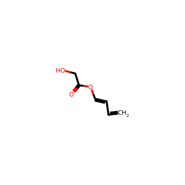 C=CC=COC(=O)CO